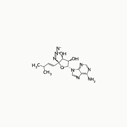 CC(C)/C=C/[C@@]1(N=[N+]=[N-])O[C@@H](n2cnc3c(N)ncnc32)[C@H](O)[C@@H]1O